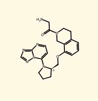 NCC(=O)N1CCc2cccc(OC[C@H]3CCCN3c3ccnc4ncnn34)c2C1